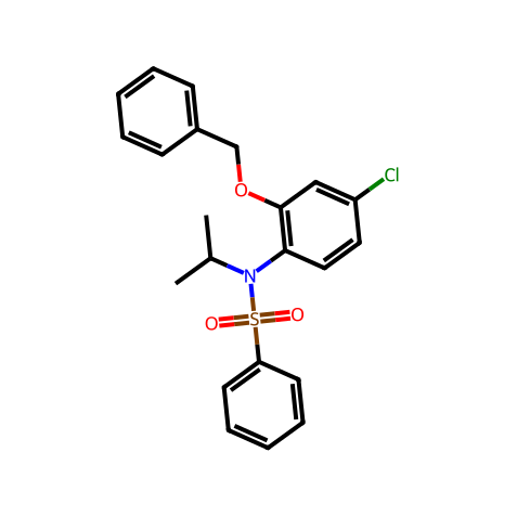 CC(C)N(c1ccc(Cl)cc1OCc1ccccc1)S(=O)(=O)c1ccccc1